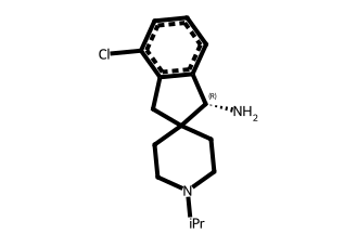 CC(C)N1CCC2(CC1)Cc1c(Cl)cccc1[C@@H]2N